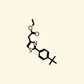 CCOC(=O)Cc1csc(-c2ccc(C(C)(C)C)cc2)n1